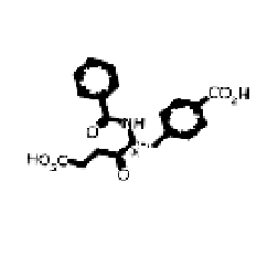 O=C(O)CCC(=O)[C@@H](Cc1ccc(C(=O)O)cc1)NC(=O)c1ccccc1